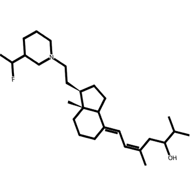 C/C(=C/C=C1\CCC[C@@]2(C)C1CC[C@@H]2CCN1CCCC(C(F)F)C1)CC(O)C(C)C